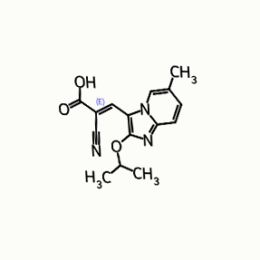 Cc1ccc2nc(OC(C)C)c(/C=C(\C#N)C(=O)O)n2c1